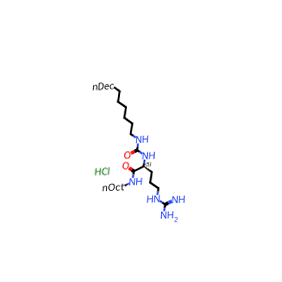 CCCCCCCCCCCCCCCCNC(=O)N[C@@H](CCCNC(=N)N)C(=O)NCCCCCCCC.Cl